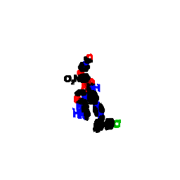 CC1(C)CCC(CN2CCN(c3ccc(C(=O)NS(=O)(=O)c4ccc(OC5CCN(C6COC6)CC5)c([N+](=O)[O-])c4)c(N4CCCOc5nc6[nH]ccc6cc54)c3)CC2)=C(c2ccc(Cl)cc2)C1